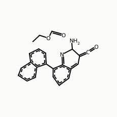 CCOC=O.NC1N=c2c(-c3cccc4ccccc34)cccc2=CC1=C=O